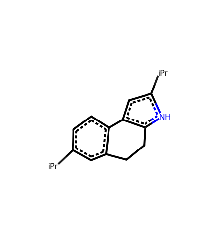 CC(C)c1ccc2c(c1)CCc1[nH]c(C(C)C)cc1-2